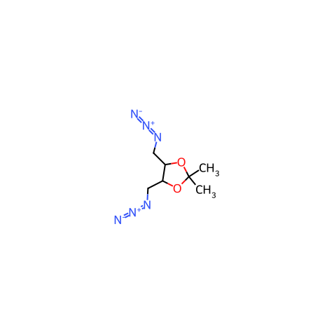 CC1(C)OC(CN=[N+]=[N-])C(CN=[N+]=[N-])O1